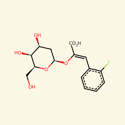 O=C(O)/C(=C/c1ccccc1F)O[C@@H]1C[C@H](O)[C@H](O)[C@H](CO)O1